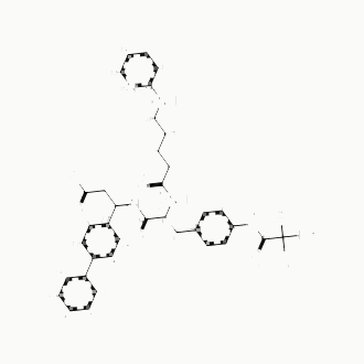 O=C(O)CC(NC(=O)[C@H](Cc1ccc(OC(=O)C(F)(F)F)cc1)NC(=O)CCCCNc1ccccn1)c1ccc(-c2ccccc2)cc1